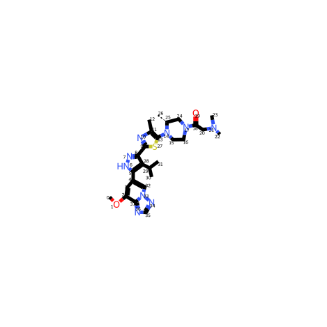 COc1cc(-c2[nH]nc(-c3nc(C)c(N4CCN(C(=O)CN(C)C)C[C@H]4C)s3)c2C(C)C)cn2ncnc12